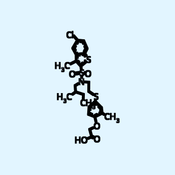 CCC(C)CN(CCSc1ccc(OCC(=O)O)c(C)c1)S(=O)(=O)c1sc2ccc(Cl)cc2c1C